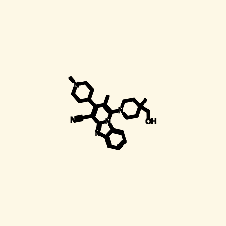 Cc1c(C2CCN(C)CC2)c(C#N)c2nc3ccccc3n2c1N1CCC(C)(CO)CC1